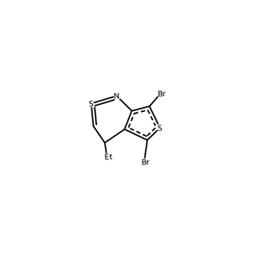 CCC1C=S=Nc2c(Br)sc(Br)c21